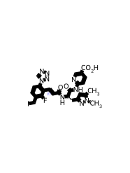 Cc1cc(C[C@H](NC(=O)/C=C/c2c(-n3cnnn3)ccc(CI)c2F)C(=O)Nc2ccc(C(=O)O)cn2)nn1C